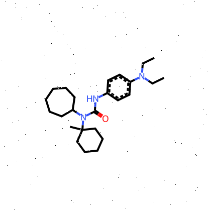 CCN(CC)c1ccc(NC(=O)N(C2CCCCCC2)C2(C)CCCCC2)cc1